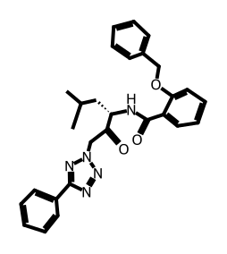 CC(C)C[C@H](NC(=O)c1ccccc1OCc1ccccc1)C(=O)Cn1nnc(-c2ccccc2)n1